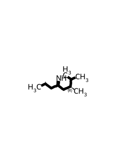 C[CH]CC(=N)C[C@@H](C)C(C)C